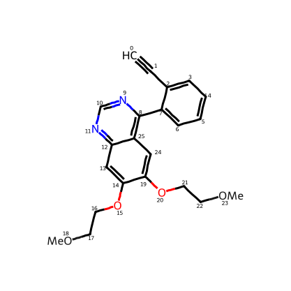 C#Cc1c[c]ccc1-c1ncnc2cc(OCCOC)c(OCCOC)cc12